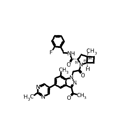 CC(=O)c1nn(CC(=O)N2[C@H](C(=O)NCc3ccccc3F)C[C@@]3(C)CC[C@@H]23)c2c(C)cc(-c3cnc(C)nc3)cc12